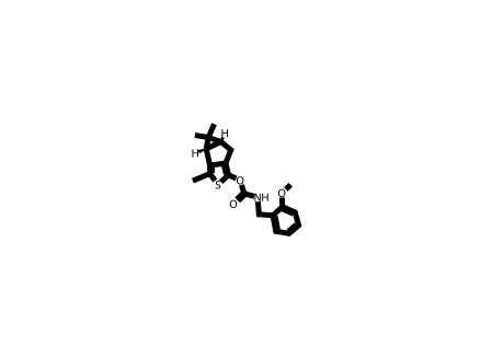 COc1ccccc1CNC(=O)Oc1sc(C)c2c1C[C@@H]1[C@H]2C1(C)C